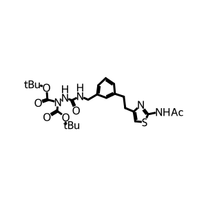 CC(=O)Nc1nc(CCc2cccc(CNC(=O)NN(C(=O)OC(C)(C)C)C(=O)OC(C)(C)C)c2)cs1